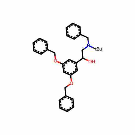 CC(C)(C)N(Cc1ccccc1)CC(O)c1cc(OCc2ccccc2)cc(OCc2ccccc2)c1